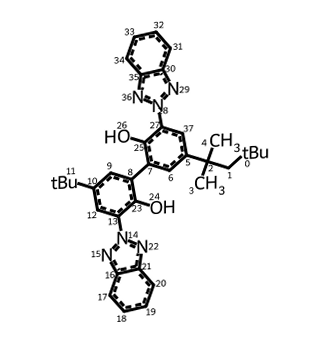 CC(C)(C)CC(C)(C)c1cc(-c2cc(C(C)(C)C)cc(-n3nc4ccccc4n3)c2O)c(O)c(-n2nc3ccccc3n2)c1